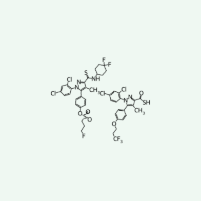 Cc1c(C(=O)S)nn(-c2ccc(Cl)cc2Cl)c1-c1ccc(OCCC(F)(F)F)cc1.Cc1c(C(=S)NC2CCC(F)(F)CC2)nn(-c2ccc(Cl)cc2Cl)c1-c1ccc(OS(=O)(=O)CCCF)cc1